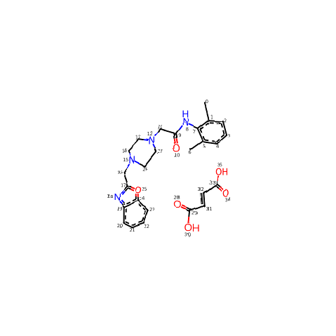 Cc1cccc(C)c1NC(=O)CN1CCN(Cc2nc3ccccc3o2)CC1.O=C(O)C=CC(=O)O